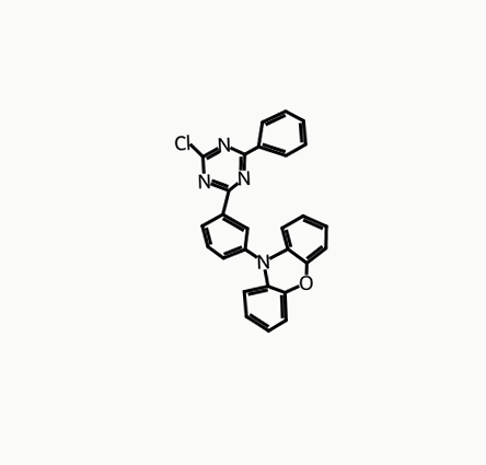 Clc1nc(-c2ccccc2)nc(-c2cccc(N3c4ccccc4Oc4ccccc43)c2)n1